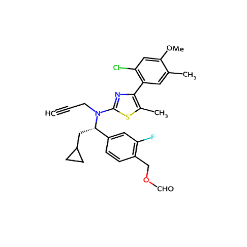 C#CCN(c1nc(-c2cc(C)c(OC)cc2Cl)c(C)s1)[C@@H](CC1CC1)c1ccc(COC=O)c(F)c1